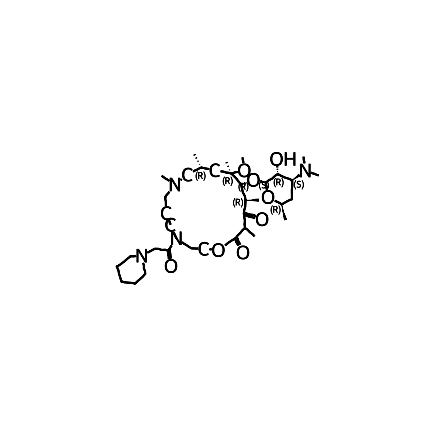 CO[C@]1(C)C[C@@H](C)CN(C)CCCN(C(=O)CN2CCCCC2)CCOC(=O)C(C)C(=O)[C@H](C)[C@H]1O[C@@H]1O[C@H](C)C[C@H](N(C)C)[C@H]1O